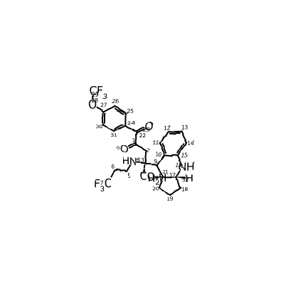 O=C(CC(NCCC(F)(F)F)(C(=O)O)C1c2ccccc2N[C@@H]2CCC[C@H]12)C(=O)c1ccc(OC(F)(F)F)cc1